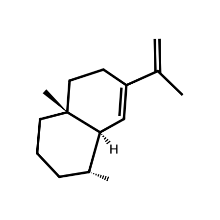 C=C(C)C1=C[C@H]2[C@H](C)CCC[C@]2(C)CC1